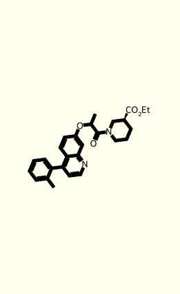 CCOC(=O)[C@H]1CCCN(C(=O)C(C)Oc2ccc3c(-c4ccccc4C)ccnc3c2)C1